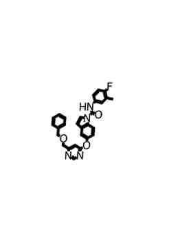 Cc1cc(NC(=O)n2ccc3cc(Oc4cc(COCc5ccccc5)ncn4)ccc32)ccc1F